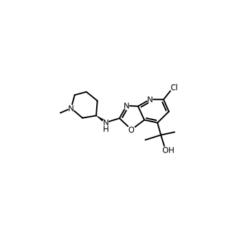 CN1CCC[C@@H](Nc2nc3nc(Cl)cc(C(C)(C)O)c3o2)C1